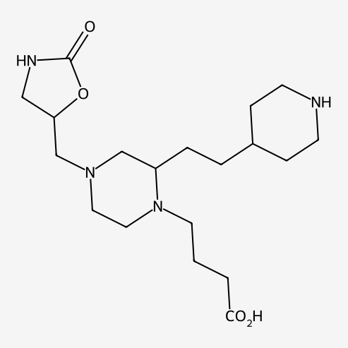 O=C(O)CCCN1CCN(CC2CNC(=O)O2)CC1CCC1CCNCC1